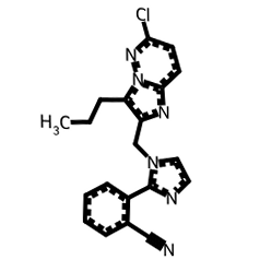 CCCc1c(Cn2ccnc2-c2ccccc2C#N)nc2ccc(Cl)nn12